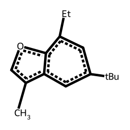 CCc1cc(C(C)(C)C)cc2c(C)coc12